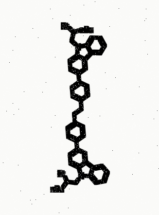 CCCCC(CC)Cn1c2ccccc2c2cc(-c3ccc(CCc4ccc(-c5ccc6c(c5)c5ccccc5n6CC(CC)CCCC)cc4)cc3)ccc21